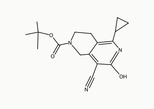 CC(C)(C)OC(=O)N1CCc2c(C3CC3)nc(O)c(C#N)c2C1